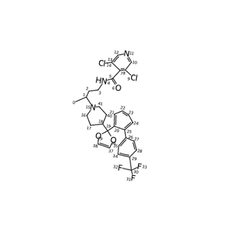 CC(CCNC(=O)c1c(Cl)cncc1Cl)N1CCC(C2(c3ccccc3-c3ccc(C(F)(F)F)cc3)OC=CO2)CC1